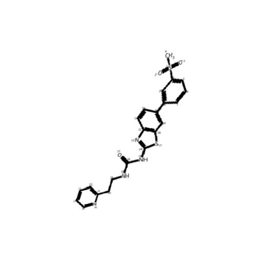 CS(=O)(=O)c1cccc(-c2ccc3nc(NC(=O)NCCc4ccccn4)sc3c2)c1